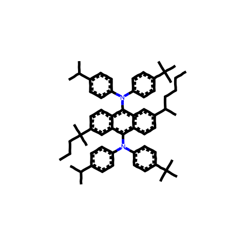 CCCCC(C)c1ccc2c(N(c3ccc(C(C)C)cc3)c3ccc(C(C)(C)C)cc3)c3cc(C(C)(C)CCC)ccc3c(N(c3ccc(C(C)C)cc3)c3ccc(C(C)(C)C)cc3)c2c1